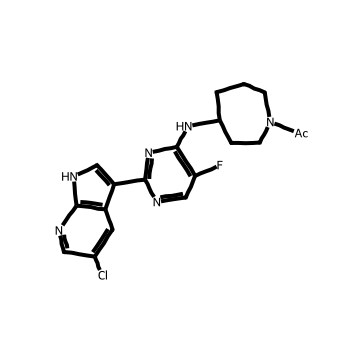 CC(=O)N1CCCC(Nc2nc(-c3c[nH]c4ncc(Cl)cc34)ncc2F)CC1